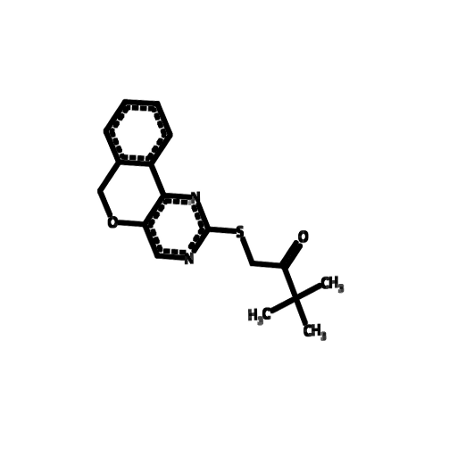 CC(C)(C)C(=O)CSc1ncc2c(n1)-c1ccccc1CO2